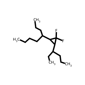 CCCCC(CCC)C1C(C(CC)CCC)C1(F)F